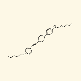 CCCCCCOc1ccc(C2CCC(C#Cc3ccc(CCCCCC)cc3)CC2)cc1